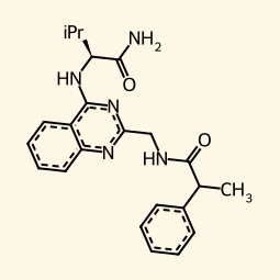 CC(C(=O)NCc1nc(N[C@H](C(N)=O)C(C)C)c2ccccc2n1)c1ccccc1